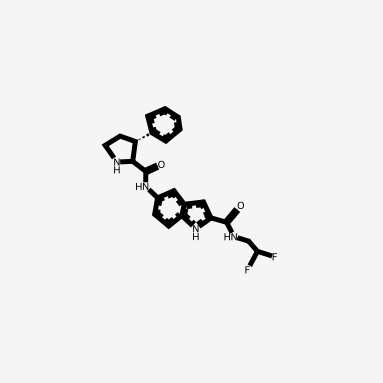 O=C(NCC(F)F)c1cc2cc(NC(=O)C3NCC[C@@H]3c3ccccc3)ccc2[nH]1